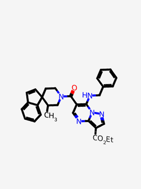 CCOC(=O)c1cnn2c(NCc3ccccc3)c(C(=O)N3CCC4(C=Cc5ccccc54)C(C)C3)cnc12